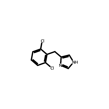 Clc1cccc(Cl)c1Cc1c[nH]cn1